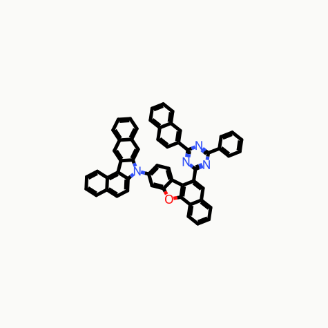 c1ccc(-c2nc(-c3ccc4ccccc4c3)nc(-c3cc4ccccc4c4oc5cc(-n6c7cc8ccccc8cc7c7c8ccccc8ccc76)ccc5c34)n2)cc1